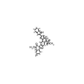 CNC(=O)c1c(-c2ccc(F)cc2)oc2cc(N(C)S(C)(=O)=O)c(-c3nsc(-c4cc5ccccc5[nH]4)n3)cc12